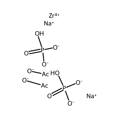 CC(=O)[O-].CC(=O)[O-].O=P([O-])([O-])O.O=P([O-])([O-])O.[Na+].[Na+].[Zr+4]